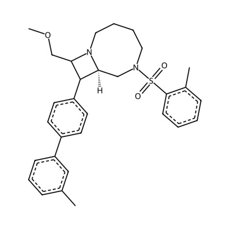 COCC1C(c2ccc(-c3cccc(C)c3)cc2)[C@@H]2CN(S(=O)(=O)c3ccccc3C)CCCCN12